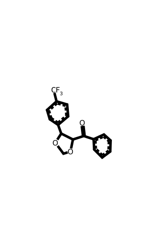 O=C(c1ccccc1)C1OCOC1c1ccc(C(F)(F)F)cc1